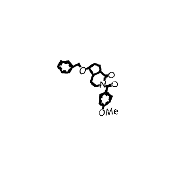 COc1ccc(C(=O)N2CCC3C(OCc4ccccc4)CCC3C2=O)cc1